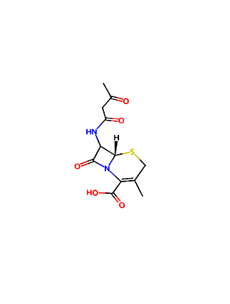 CC(=O)CC(=O)NC1C(=O)N2C(C(=O)O)=C(C)CS[C@@H]12